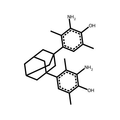 Cc1cc(C23CC4CC(C2)CC(c2cc(C)c(O)c(N)c2C)(C4)C3)c(C)c(N)c1O